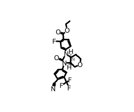 CCOC(=O)c1ccc(N2C(=O)N(c3ccc(C#N)c(C(F)(F)F)c3)[C@H]3COCC[C@@H]32)cc1F